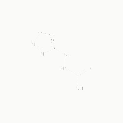 NC(=O)NNc1conn1